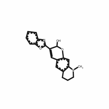 CN1CCCc2cc3c(cc21)OC(O)C(c1nc2ccccc2o1)=C3